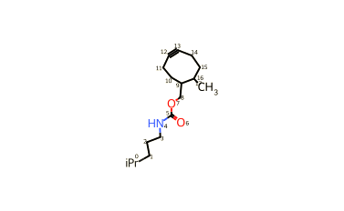 CC(C)CCCNC(=O)OCC1CCC#CCCC1C